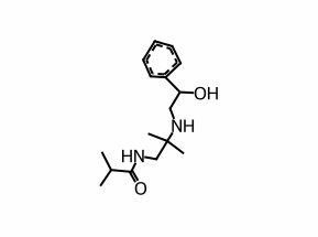 CC(C)C(=O)NCC(C)(C)NCC(O)c1ccccc1